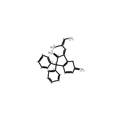 C=C1C=CC2=C(C1)/C(=C/C(N)=C\C)C(=C)C2(c1ccccc1)c1ccccc1